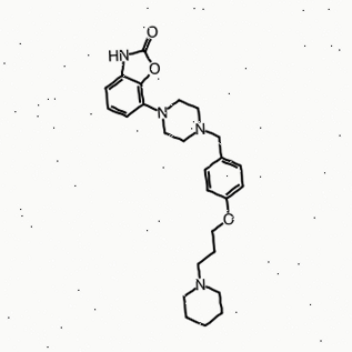 O=c1[nH]c2cccc(N3CCN(Cc4ccc(OCCCN5CCCCC5)cc4)CC3)c2o1